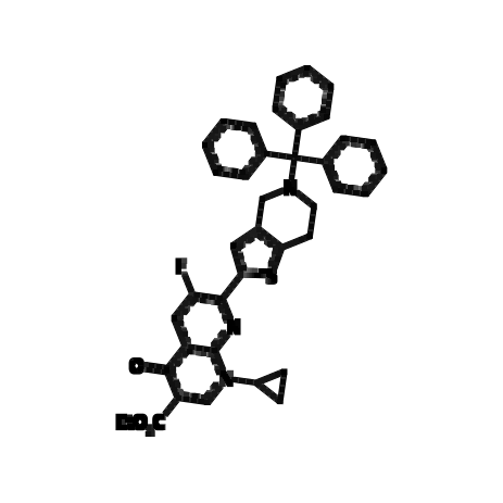 CCOC(=O)c1cn(C2CC2)c2nc(-c3cc4c(s3)CCN(C(c3ccccc3)(c3ccccc3)c3ccccc3)C4)c(F)cc2c1=O